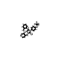 O=C1CN(Cc2ccncc2OCc2ccccc2)C(=O)N1c1ccc(OC(F)(F)F)cc1